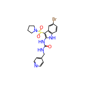 O=C(NCc1ccncc1)Nc1[nH]c2ccc(Br)cc2c1S(=O)(=O)N1CCCC1